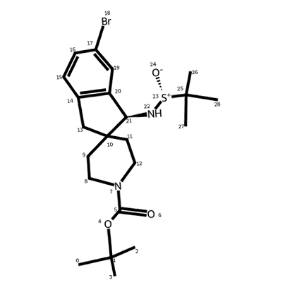 CC(C)(C)OC(=O)N1CCC2(CC1)Cc1ccc(Br)cc1[C@H]2N[S@+]([O-])C(C)(C)C